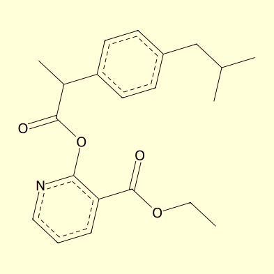 CCOC(=O)c1cccnc1OC(=O)C(C)c1ccc(CC(C)C)cc1